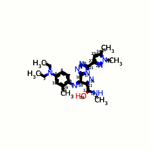 CCN(CC)c1ccc(/N=C2/C(C(O)NC)=Nn3c2nnc3-c2cc(C)n(C)n2)c(C)c1